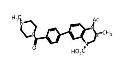 CC(=O)N1c2ccc(-c3ccc(C(=O)N4CCN(C)CC4)cc3)cc2N(C(=O)O)C[C@@H]1C